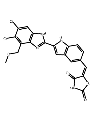 COCc1c(Cl)c(Cl)cc2[nH]c(-c3cc4cc(C=C5SC(=O)NC5=O)ccc4[nH]3)nc12